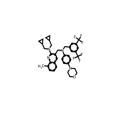 Cc1cccc2cc(CN(Cc3cc(C(F)(F)F)cc(C(F)(F)F)c3)c3ccc(N4CCOCC4)cc3)c(N(CC3CC3)CC3CC3)nc12